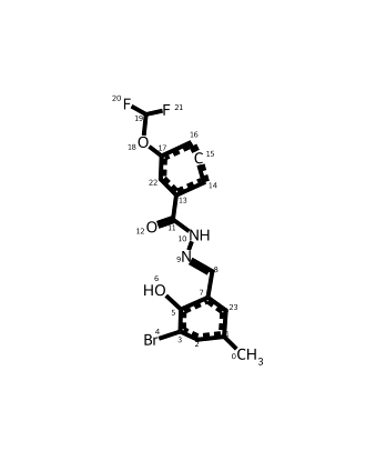 Cc1cc(Br)c(O)c(/C=N/NC(=O)c2cccc(OC(F)F)c2)c1